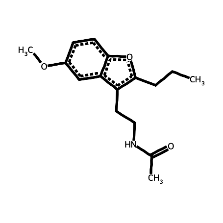 CCCc1oc2ccc(OC)cc2c1CCNC(C)=O